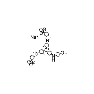 CCOc1ccc(Nc2ccc([C+](c3ccc(N(CC)Cc4cccc(S(=O)(=O)[O-])c4)cc3C)c3ccc(N(CC)Cc4cccc(S(=O)(=O)[O-])c4)cc3C)cc2)cc1.[Na+]